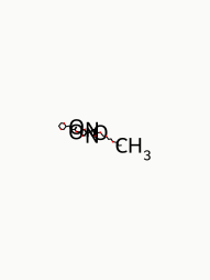 CCCCCCCCOc1cnc(-c2ccc(OC(=O)CCC3CCCCC3)cc2)nc1